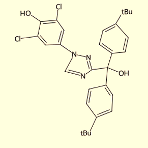 CC(C)(C)c1ccc(C(O)(c2ccc(C(C)(C)C)cc2)c2ncn(-c3cc(Cl)c(O)c(Cl)c3)n2)cc1